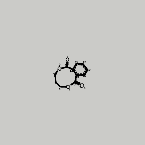 O=C1OCCCOC(=O)c2ccccc21